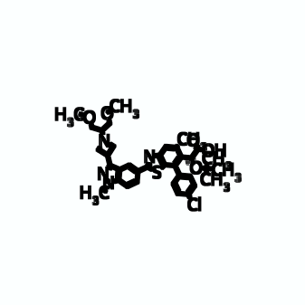 COCC(COC)N1CC(c2nn(C)c3ccc(-c4nc5cc(C)c([C@H](OC(C)(C)C)C(=O)O)c(-c6ccc(Cl)cc6)c5s4)cc23)C1